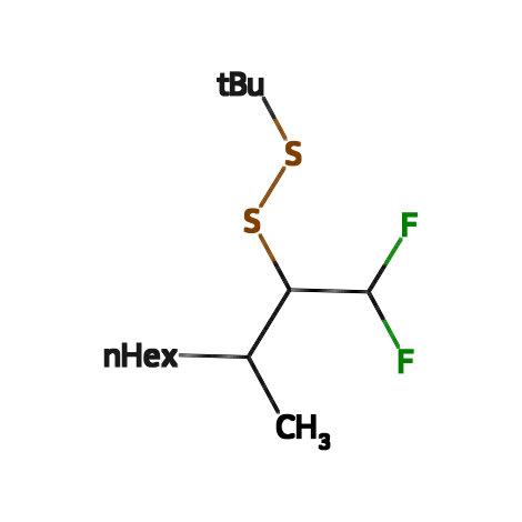 CCCCCCC(C)C(SSC(C)(C)C)C(F)F